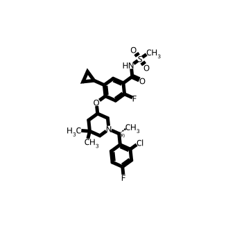 C[C@H](c1ccc(F)cc1Cl)N1CC(Oc2cc(F)c(C(=O)NS(C)(=O)=O)cc2C2CC2)CC(C)(C)C1